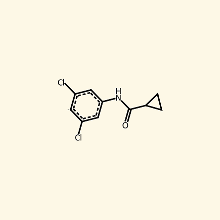 O=C(Nc1cc(Cl)[c]c(Cl)c1)C1CC1